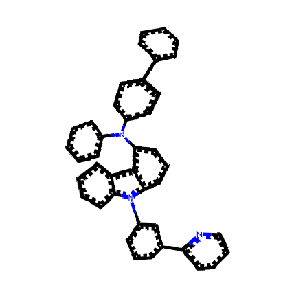 c1ccc(-c2ccc(N(c3ccccc3)c3cccc4c3c3ccccc3n4-c3cccc(-c4ccccn4)c3)cc2)cc1